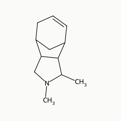 CC1C2C3C=CCC(C3)C2CN1C